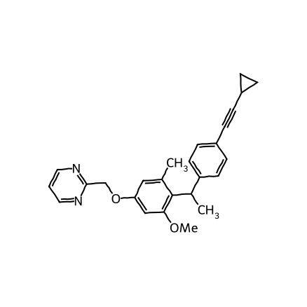 COc1cc(OCc2ncccn2)cc(C)c1C(C)c1ccc(C#CC2CC2)cc1